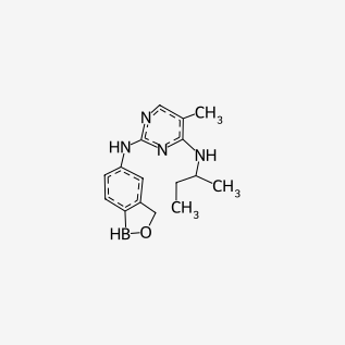 CCC(C)Nc1nc(Nc2ccc3c(c2)COB3)ncc1C